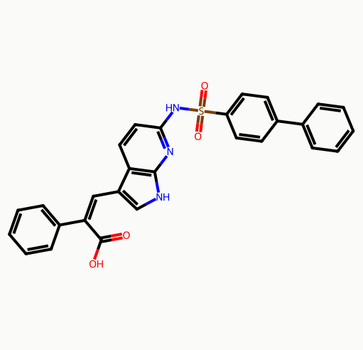 O=C(O)C(=Cc1c[nH]c2nc(NS(=O)(=O)c3ccc(-c4ccccc4)cc3)ccc12)c1ccccc1